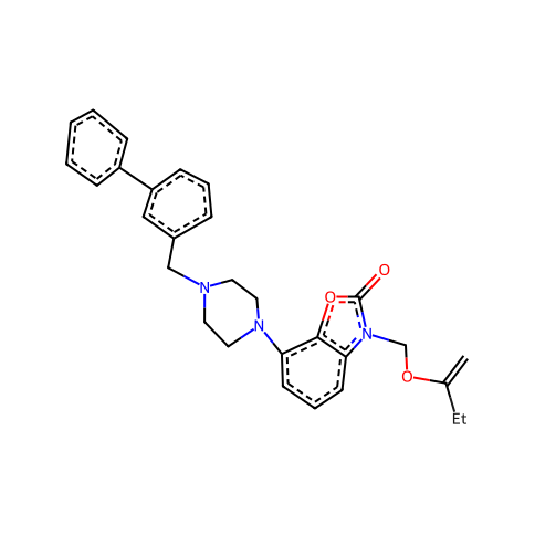 C=C(CC)OCn1c(=O)oc2c(N3CCN(Cc4cccc(-c5ccccc5)c4)CC3)cccc21